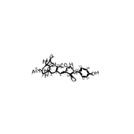 CC(=O)N1C[C@H]2CC(/C=C3\CCN(c4ccc(O)cc4)C3=O)=C(C(=O)O)N3C(=O)[C@@H]1[C@@H]23